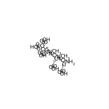 Cc1cc(N=Nc2cc(OCCCS(=O)(=O)O)c(N)cc2C)c(SCCCS(=O)(=O)O)cc1N=Nc1nc2c(S(=O)(=O)O)cc3c(S(=O)(=O)O)cc(S(=O)(=O)O)cc3c2s1